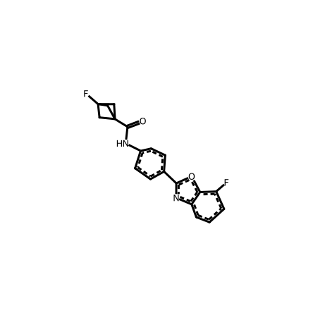 O=C(Nc1ccc(-c2nc3cccc(F)c3o2)cc1)C12CC(F)(C1)C2